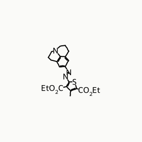 CCOC(=O)c1sc(N=Nc2cc3c4c(c2)CCCN4CCC3)c(C(=O)OCC)c1C